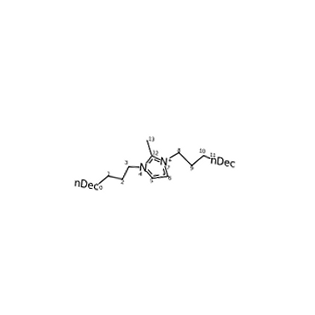 CCCCCCCCCCCCCn1cc[n+](CCCCCCCCCCCCC)c1C